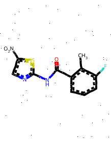 Cc1c(F)cccc1C(=O)Nc1ncc([N+](=O)[O-])s1